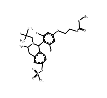 CC1Cc2cc(OS(=O)(=O)C(F)(F)F)ccc2C(c2c(F)cc(OCCNC(=O)OC(C)(C)C)cc2F)N1CC(C)(C)F